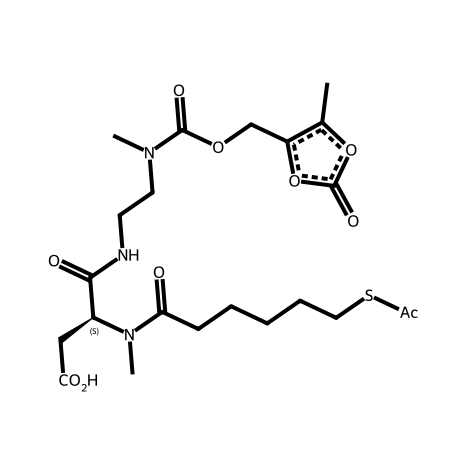 CC(=O)SCCCCCC(=O)N(C)[C@@H](CC(=O)O)C(=O)NCCN(C)C(=O)OCc1oc(=O)oc1C